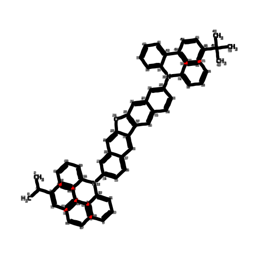 CC(C)c1ccc(-c2ccccc2N(c2ccc3cc4c(cc3c2)oc2cc3cc(N(c5ccccc5)c5ccccc5-c5ccc(C(C)(C)C)cc5)ccc3cc24)c2ccccc2-c2ccccc2)cc1